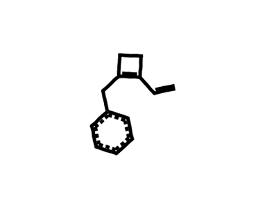 C=CC1=C(Cc2ccccc2)CC1